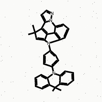 CC1(C)C=c2c3c1c1ccnn1c1cccc(c31)n2-c1ccc(N2c3ccccc3C(C)(C)c3ccccc32)cc1